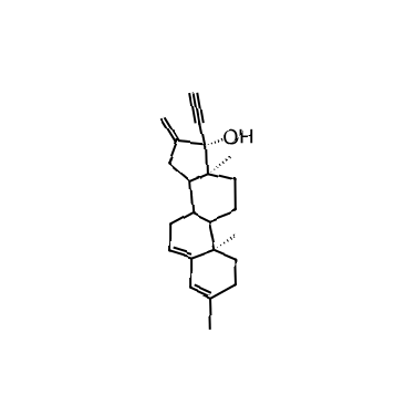 C#C[C@]1(O)C(=C)CC2C3CC=C4C=C(C)CC[C@]4(C)C3CC[C@@]21C